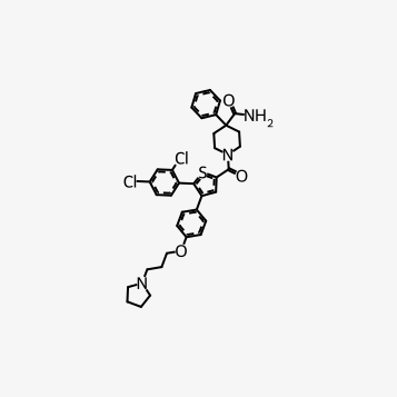 NC(=O)C1(c2ccccc2)CCN(C(=O)c2cc(-c3ccc(OCCCN4CCCC4)cc3)c(-c3ccc(Cl)cc3Cl)s2)CC1